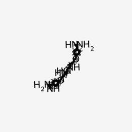 Cl.N=C(N)c1ccc(OCCCNCCNCCOc2ccc(C(=N)N)cc2)cc1